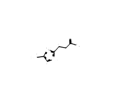 NC(=O)CCc1nc(Br)cs1